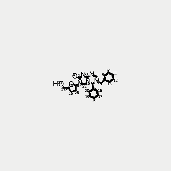 O=c1nc(/N=C\N(Cc2ccccc2)Cc2ccccc2)ncn1C1CCC(CO)O1